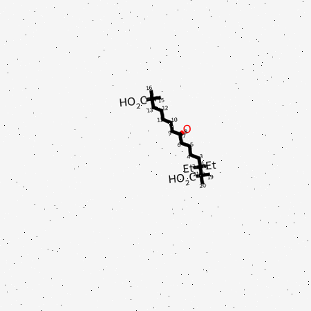 CCC(CC)(CCCCC(=O)CCCCCC(C)(C)C(=O)O)C(C)(C)C(=O)O